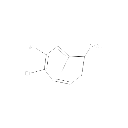 CC/C1=C(C(C)C)/C=C(\C)C(NC)CC=C1